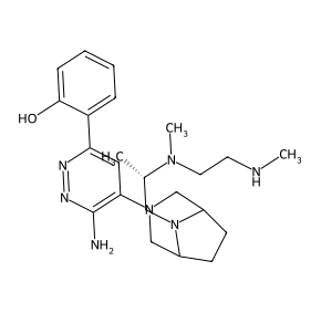 CNCCN(C)[C@@H](C)CN1C2CCC1CN(c1cc(-c3ccccc3O)nnc1N)C2